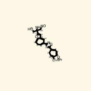 CCCOC1=CC=C(c2nc(C3=CCC=c4oc(C(N)(CO)CN=O)cc4=C3)no2)CC=C1Cl